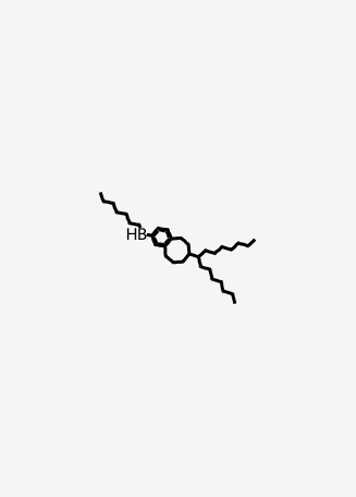 CCCCCCCBc1ccc2c(c1)CCCC(C(CCCCCCC)CCCCCCC)CC2